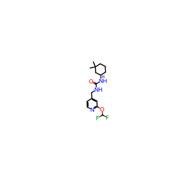 CC1(C)CCC[C@@H](NC(=O)NCc2ccnc(OC(F)F)c2)C1